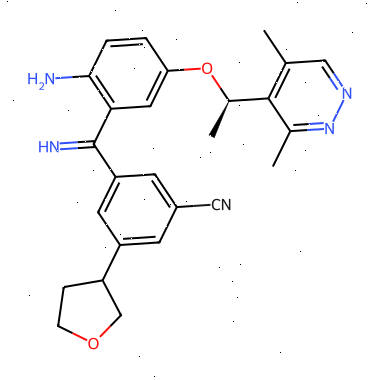 Cc1cnnc(C)c1[C@@H](C)Oc1ccc(N)c(C(=N)c2cc(C#N)cc(C3CCOC3)c2)c1